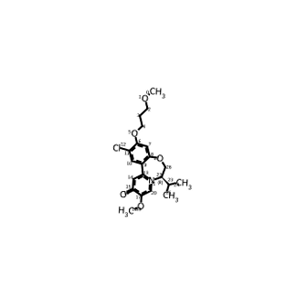 COCCCOc1cc2c(cc1Cl)-c1cc(=O)c(OC)cn1[C@H](C(C)C)CO2